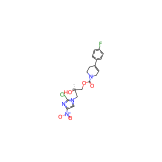 C[C@](O)(COC(=O)N1CC=C(c2ccc(F)cc2)CC1)Cn1cc([N+](=O)[O-])nc1Cl